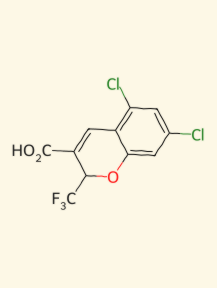 O=C(O)C1=Cc2c(Cl)cc(Cl)cc2OC1C(F)(F)F